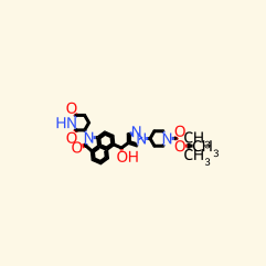 CC(C)(C)OC(=O)N1CCC(n2cc(C(O)c3ccc4c5c(cccc35)C(=O)N4C3CCC(=O)NC3=O)cn2)CC1